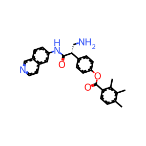 Cc1ccc(C(=O)Oc2ccc([C@@H](CN)C(=O)Nc3ccc4cnccc4c3)cc2)c(C)c1C